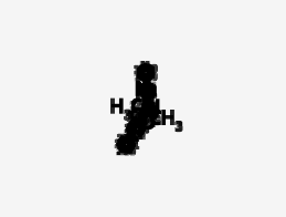 Cc1nn(-c2ccc(-c3ccccc3)nn2)c(C)c1S(=O)(=O)N1CCN(c2ccccc2)CC1